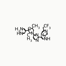 CC1CN(c2ccnc(C3=CNC4C=NC(CC(F)(F)F)=CN34)n2)C(C)C(/C(C=N)=C/N)O1